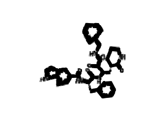 O=C(NCc1ccccc1)C(=O)C(C[C@@H]1CCCNC1=O)NC(=O)[C@H](Cc1ccccc1)NC(=O)c1ccc2[nH]ccc2c1